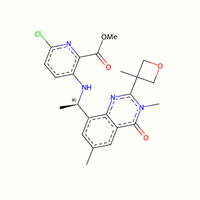 COC(=O)c1nc(Cl)ccc1N[C@H](C)c1cc(C)cc2c(=O)n(C)c(C3(C)COC3)nc12